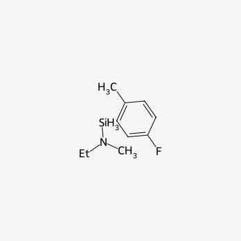 CCN(C)[SiH3].Cc1ccc(F)cc1